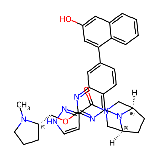 CN1CCC[C@H]1COc1nc(N2[C@@H]3CC[C@H]2CN(C(=O)c2cc[nH]n2)C3)c2ccc(-c3cc(O)cc4ccccc34)cc2n1